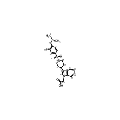 CC(C)Oc1ccc(S(=O)(=O)N2CCC(c3cn(CC(=O)O)c4cnccc34)CC2)cc1F